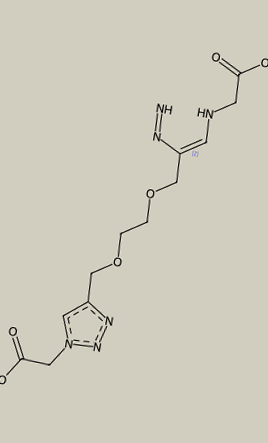 N=N/C(=C\NCC(=O)O)COCCOCc1cn(CC(=O)O)nn1